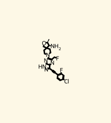 C[C@@H]1OCC2(CCN(c3nc4[nH]nc(C#Cc5ccc(Cl)cc5F)c4nc3CF)CC2)[C@@H]1N